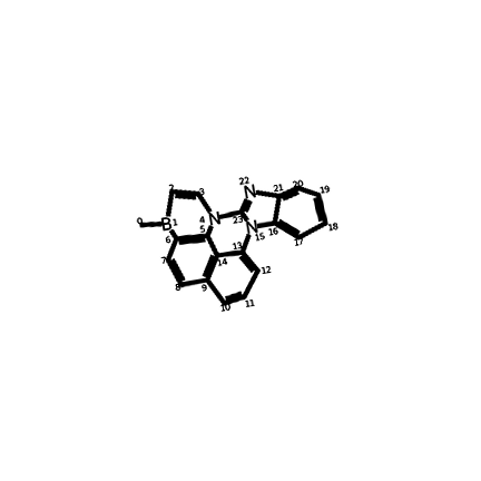 CB1C=Cn2c3c1ccc1cccc(c13)n1c3ccccc3nc21